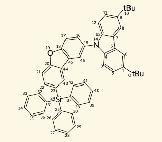 CC(C)(C)c1ccc2c(c1)c1cc(C(C)(C)C)ccc1n2-c1ccc2oc3ccc([Si](c4ccccc4)(c4ccccc4)c4ccccc4)cc3c2c1